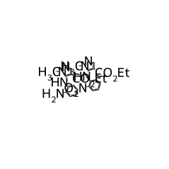 CCOC(=O)c1cnn(C)c1Nc1ccccc1N.CCOC(=O)c1cnn(C)c1Nc1ccccc1[N+](=O)[O-]